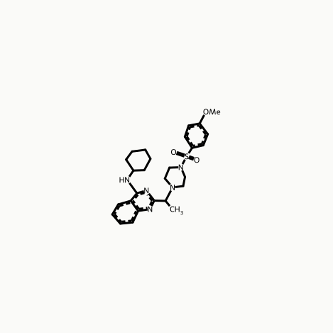 COc1ccc(S(=O)(=O)N2CCN(C(C)c3nc(NC4CCCCC4)c4ccccc4n3)CC2)cc1